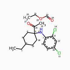 CCC1CCC(Nc2ccc(Cl)cc2Cl)(C(C)=O)CC1.CCOC=O